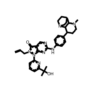 C=CCn1c(=O)c2cnc(Nc3ccc(C4CCN(C)C5C6CCN(CC6)C45)cc3)nc2n1-c1cccc(C(C)(C)O)n1